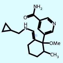 COC1(c2cncc(C(N)=O)c2)/C(=C/NCC2CC2)CCCC1C